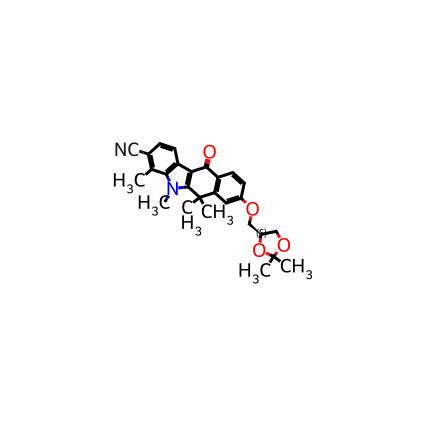 Cc1c(C#N)ccc2c3c(n(C)c12)C(C)(C)c1cc(OC[C@H]2COC(C)(C)O2)ccc1C3=O